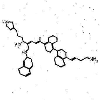 C/C(=C\C=C(/CNC1C=C2CCC=CC2CC1)[C@@H](N)CCCC1CCNC1)C1=C2CCCCC2=C(C2CCC(/C=C/CCN)C3=C2CCCC3)CC1